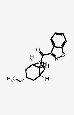 CC[C@H]1C[C@@H]2CN(C(=O)c3nsc4ccccc34)[C@H](C1)[C@@H]2C